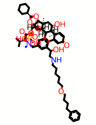 CC(C)[C@@H](C(=O)OCC(=O)[C@@]12O[C@H](C3CCCCC3)O[C@@H]1C[C@H]1[C@@H]3CCC4=CC(=O)C=C[C@]4(C)[C@H]3[C@@H](O)C[C@@]12C)[N+](C)(C)Cc1cc(C(O)CNCCCCCCOCCCCc2ccccc2)ccc1OP(=O)(O)O